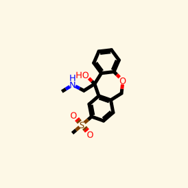 CNCC1(O)c2cc(S(C)(=O)=O)ccc2COc2ccccc21